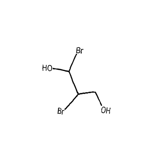 OCC(Br)C(O)Br